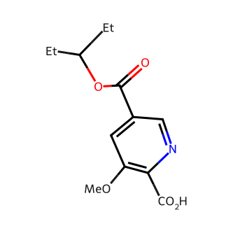 CCC(CC)OC(=O)c1cnc(C(=O)O)c(OC)c1